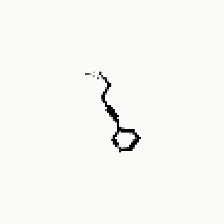 O=S(=O)(O)CCC#Cc1cccnc1